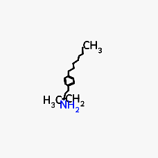 [CH2]C(C)(N)CCc1ccc(CCCCCCCC)cc1